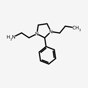 CCCN1CCN(CCN)C1c1ccccc1